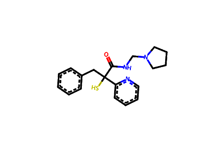 O=C(NCN1CCCC1)C(S)(Cc1ccccc1)c1ccccn1